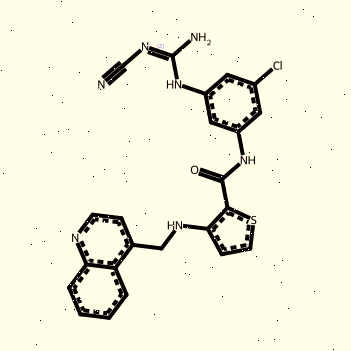 N#C/N=C(/N)Nc1cc(Cl)cc(NC(=O)c2sccc2NCc2ccnc3ccccc23)c1